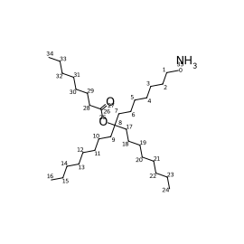 CCCCCCCCC(CCCCCCCC)(CCCCCCCC)OC(=O)CCCCCCC.N